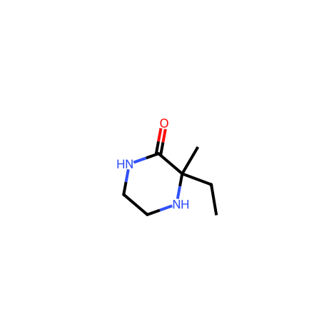 CCC1(C)NCCNC1=O